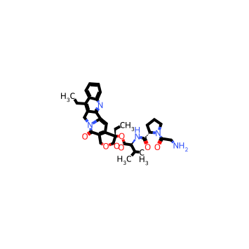 CCc1c2c(nc3ccccc13)-c1cc3c(c(=O)n1C2)COC(=O)[C@@]3(CC)OC(=O)[C@@H](NC(=O)[C@@H]1CCCN1C(=O)CN)C(C)C